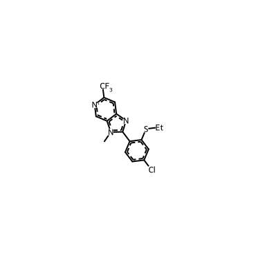 CCSc1cc(Cl)ccc1-c1nc2cc(C(F)(F)F)ncc2n1C